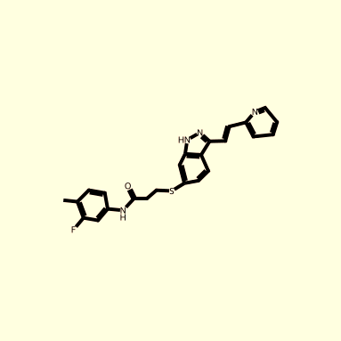 Cc1ccc(NC(=O)CCSc2ccc3c(C=Cc4ccccn4)n[nH]c3c2)cc1F